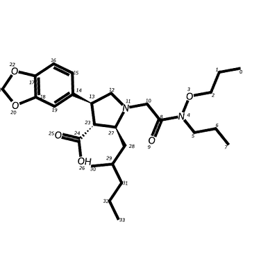 CCCON(CCC)C(=O)CN1C[C@H](c2ccc3c(c2)OCO3)[C@@H](C(=O)O)[C@@H]1CC(C)CCC